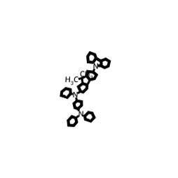 CC1(C)c2cc(N(c3ccccc3)c3ccc(N(c4ccccc4)c4ccccc4)cc3)ccc2-c2ccc(-n3c4ccccc4c4ccccc43)cc21